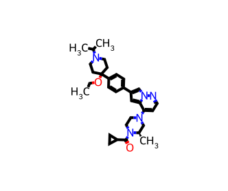 CCOC1(c2ccc(-c3cc4c(N5CCN(C(=O)C6CC6)[C@H](C)C5)ccnn4c3)cc2)CCN(C(C)C)CC1